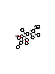 CC(C)(C)c1cc2c3c(c1)N(c1c(-c4ccccc4)cc(-c4ccccc4)cc1-c1ccccc1)c1ccccc1B3c1cc3c(cc1N2c1ccccc1)Oc1cc(N2C4CC5CC(C4)CC2C5)cc2c1B3c1ccccc1N2c1ccccc1